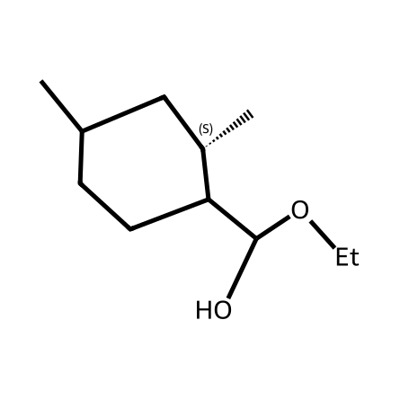 CCOC(O)C1CCC(C)C[C@@H]1C